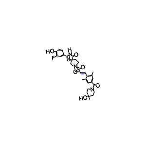 Cc1cc(C(=O)N2CCC(C)(O)CC2)cc(C)c1/C=C/S(=O)(=O)N1CCC2(CC1)N=C(c1ccc(O)c(F)c1)NC2=O